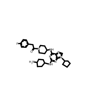 NC1CCC(Nc2nc(NC3CCN(C(=O)Cc4ccc(F)cc4)CC3)c3ncn(C4CCCC4)c3n2)CC1